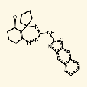 O=C1CCCC2=C1C1(CCCC1)N=C(Nc1nc3cc4ccccc4cc3o1)N=N2